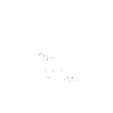 COC(=O)c1ccc2c(c1)[C@H](NC(=O)CCC1CCCC1)CC2